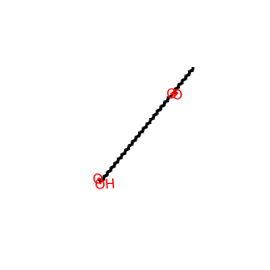 CCCCCCCCCCCC(=O)OCCCCCCCCCCCCCCCCCCCCCCCCCCCCCCCCCCCCCCCC(=O)O